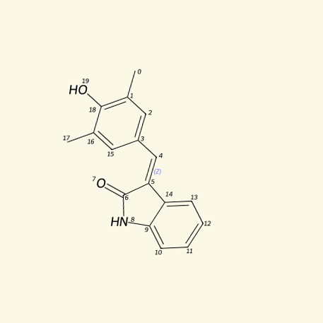 Cc1cc(/C=C2\C(=O)Nc3ccccc32)cc(C)c1O